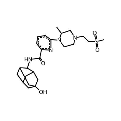 CC1CN(CCS(C)(=O)=O)CCN1c1cccc(C(=O)NC2C3CC4CC2CC(O)(C4)C3)n1